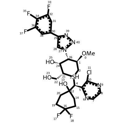 CO[C@H]1C[SH]([C@@H](c2nccnc2Cl)C2(O)CCC(F)(F)CC2)[C@H](CO)[C@H](O)[C@@H]1n1cc(-c2cc(F)c(F)c(F)c2)nn1